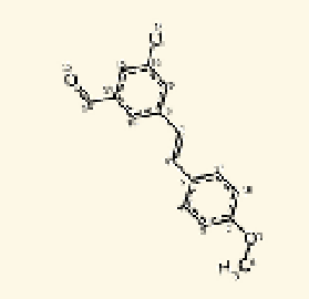 COc1ccc(C=Cc2cc(Cl)cc(C=O)c2)cc1